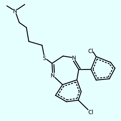 CN(C)CCCCSC1=Nc2ccc(Cl)cc2C(c2ccccc2Cl)=NC1